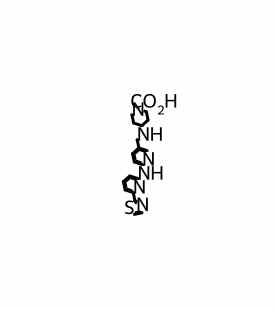 O=C(O)N1CCC(NCc2ccc(Nc3cccc(-c4nccs4)n3)nc2)CC1